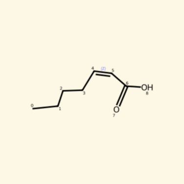 CCCC/C=C\C(=O)O